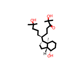 CC(C)(O)CCC[C@@H](CCC(=O)C(C)(C)O)[C@H]1CC[C@H]2[C@@H](O)CCC[C@]12C